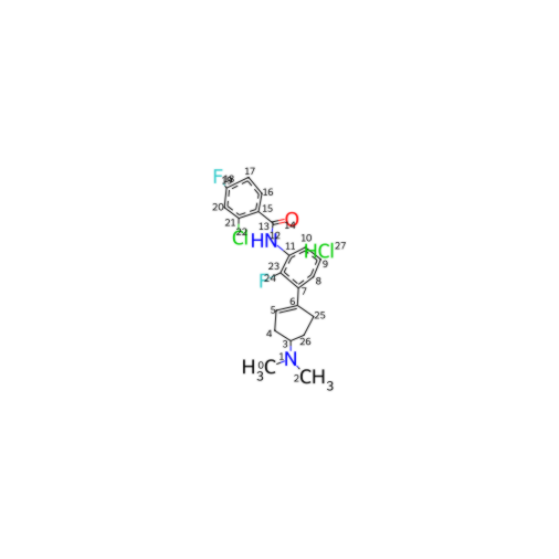 CN(C)C1CC=C(c2cccc(NC(=O)c3ccc(F)cc3Cl)c2F)CC1.Cl